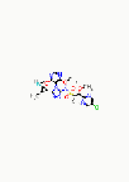 COc1ncnc(OC)c1-n1c(NS(=O)(=O)[C@@H](C)[C@H](OC)c2ncc(Cl)cn2)nnc1[C@@H]1[C@@H](C)C1(F)F